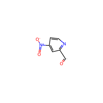 O=[C]c1cc([N+](=O)[O-])ccn1